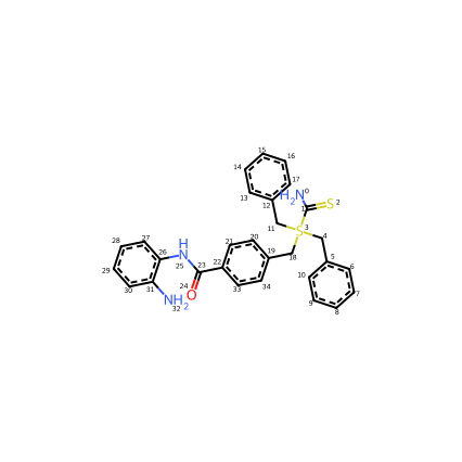 NC(=S)S(Cc1ccccc1)(Cc1ccccc1)Cc1ccc(C(=O)Nc2ccccc2N)cc1